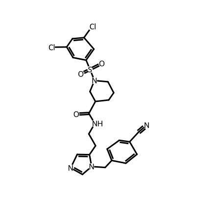 N#Cc1ccc(Cn2cncc2CCNC(=O)C2CCCN(S(=O)(=O)c3cc(Cl)cc(Cl)c3)C2)cc1